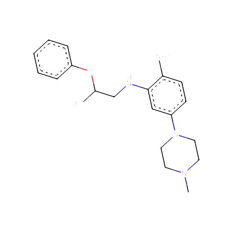 CC(=O)Nc1ccc(N2CCN(C)CC2)cc1NCC(Oc1ccccc1)C(C)=O